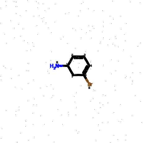 NC1C=CC=C(Br)C1